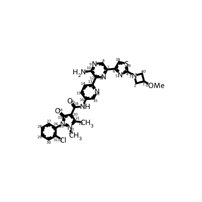 COC1CN(c2nc(-c3cnc(N)c(-c4ccc(NC(=O)c5c(C)n(C)n(-c6ccccc6Cl)c5=O)cn4)n3)cs2)C1